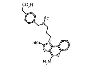 CCCCc1nc2c(N)nc3ccccc3c2n1CCCN(Cc1ccc(CC(=O)O)cc1)C(C)=O